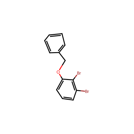 Brc1cccc(OCc2ccccc2)c1Br